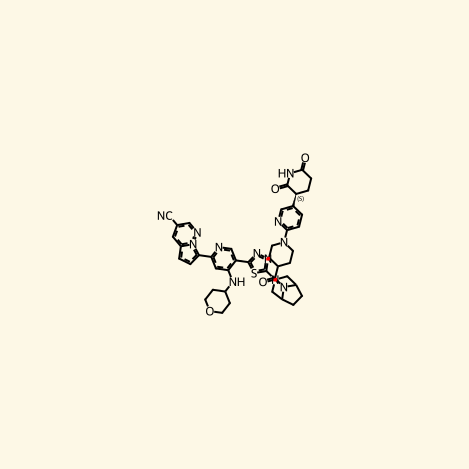 N#Cc1cnn2c(-c3cc(NC4CCOCC4)c(-c4nnc(N5CC6CCC(C5)N6C(=O)C5CCN(c6ccc([C@@H]7CCC(=O)NC7=O)cn6)CC5)s4)cn3)ccc2c1